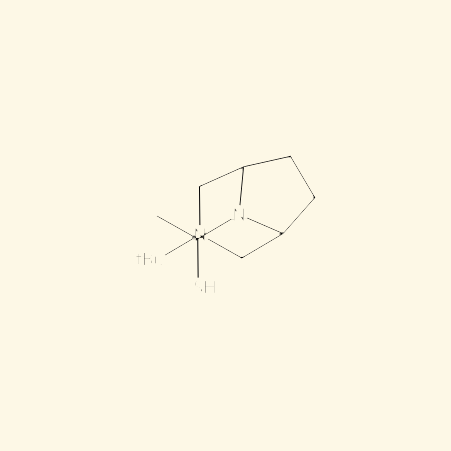 CC(S)N1C2CCC1CN(C(C)(C)C)C2